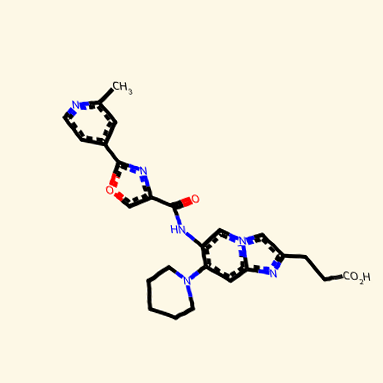 Cc1cc(-c2nc(C(=O)Nc3cn4cc(CCC(=O)O)nc4cc3N3CCCCC3)co2)ccn1